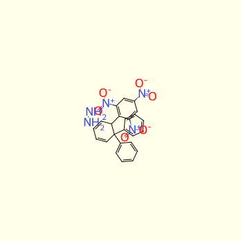 NN.O=[N+]([O-])c1cc([N+](=O)[O-])c(C2C=CC=CC2(c2ccccc2)c2ccccc2)c([N+](=O)[O-])c1